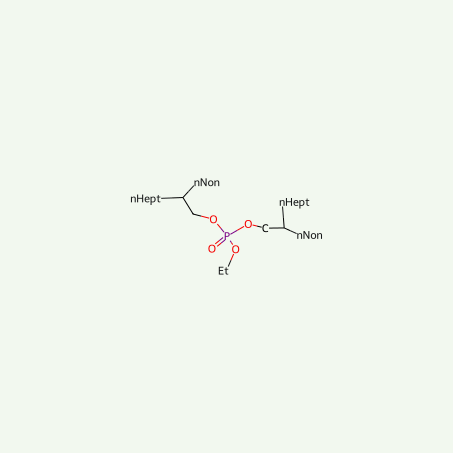 CCCCCCCCCC(CCCCCCC)COP(=O)(OCC)OCC(CCCCCCC)CCCCCCCCC